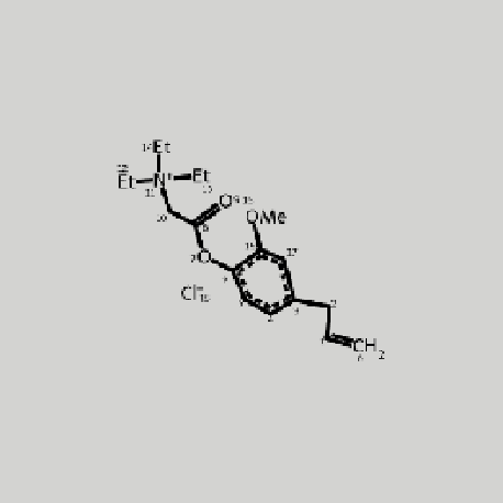 C=CCc1ccc(OC(=O)C[N+](CC)(CC)CC)c(OC)c1.[Cl-]